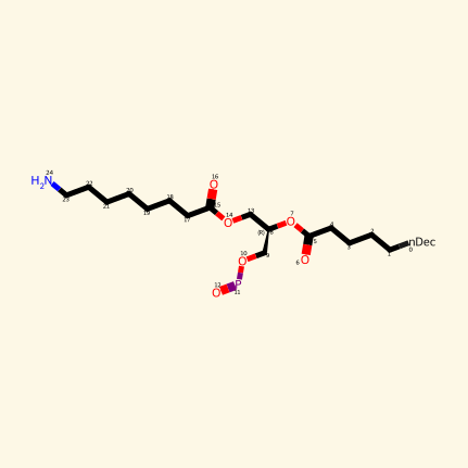 CCCCCCCCCCCCCCC(=O)O[C@@H](COP=O)COC(=O)CCCCCCCN